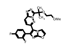 COCCOC(C)(C)c1nnc2ccc(-c3c(-c4ccc(F)cc4F)nc4occn34)nn12